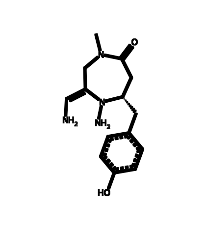 CN1C/C(=C/N)N(N)[C@@H](Cc2ccc(O)cc2)CC1=O